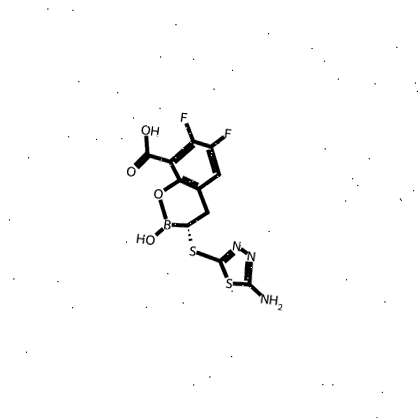 Nc1nnc(S[C@H]2Cc3cc(F)c(F)c(C(=O)O)c3OB2O)s1